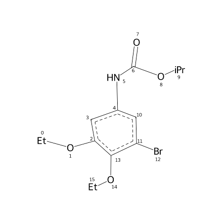 CCOc1cc(NC(=O)OC(C)C)cc(Br)c1OCC